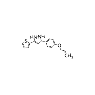 C=CCOc1ccc(C2C=C(c3cccs3)NN2)cc1